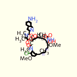 COc1cc2cc(c1Cl)N(C)C(=O)C[C@H](OC(=O)[C@H](C)N(C)C(=O)c1cc3ccc(N)cc3cn1)[C@]1(C)O[C@H]1[C@H](C)[C@@H]1C[C@@](O)(NC(=O)O1)[C@H](OC)/C=C/C=C(\C)C2